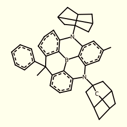 Cc1cc2c3c(c1)N(C14CC5CC1CC5C4)c1cccc4c1B3c1c(cccc1C4(C)c1ccccc1)N2C12CC3CC4CC(C1)C43C2